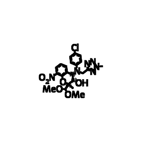 COC(OC)[C@]1(C)Oc2c(cccc2[N+](=O)[O-])[C@@H](N(Cc2nnn(C)n2)c2ccc(Cl)cc2)[C@@H]1O